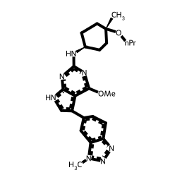 CCCO[C@]1(C)CC[C@@H](Nc2nc(OC)c3c(-c4ccc5nnn(C)c5c4)c[nH]c3n2)CC1